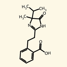 CC(C)C1(C)N=C(CCc2ccccc2C(=O)O)NC1=O